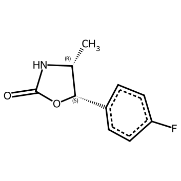 C[C@H]1NC(=O)O[C@H]1c1ccc(F)cc1